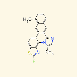 Cc1cccc2cc3c(cc12)c1ccc2sc(F)nc2c1n1c(C)cnc31